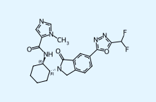 Cn1cncc1C(=O)N[C@@H]1CCCC[C@H]1N1Cc2ccc(-c3nnc(C(F)F)o3)cc2C1=O